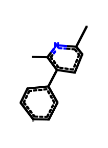 Cc1ccc(-c2cc[c]cc2)c(C)n1